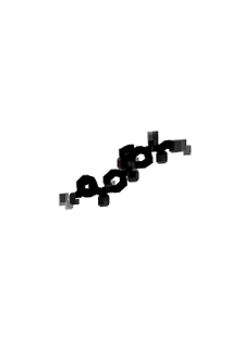 C=CC(=O)NC1CCN(S(=O)(=O)C2CCN(C(=O)c3cccc(C(F)(F)F)c3)CC2)C2(CCC2)C1